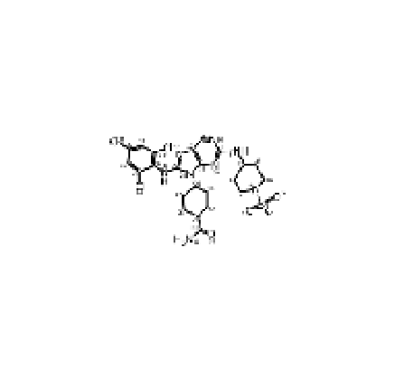 CS(=O)(=O)N1CCC(Nc2ncc3nc(Nc4c(Cl)cc(Cl)cc4Cl)n([C@H]4CC[C@H](C(N)=O)CC4)c3n2)CC1